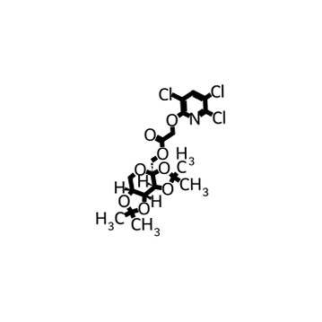 CC1(C)O[C@@H]2[C@@H](CO[C@@]3(COC(=O)COc4nc(Cl)c(Cl)cc4Cl)OC(C)(C)O[C@@H]23)O1